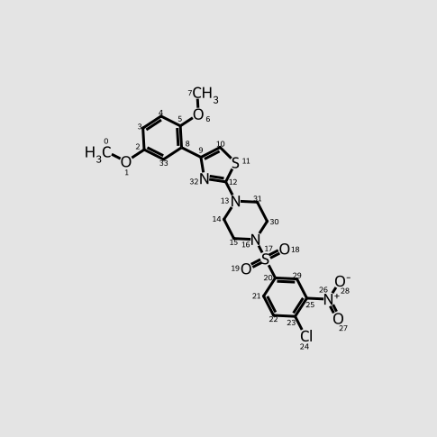 COc1ccc(OC)c(-c2csc(N3CCN(S(=O)(=O)c4ccc(Cl)c([N+](=O)[O-])c4)CC3)n2)c1